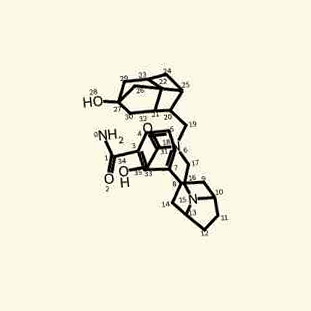 NC(=O)c1cccc(C2CC3CCC(C2)N3CCN(CC2C3CC4CC2CC(O)(C4)C3)C(=O)CO)c1